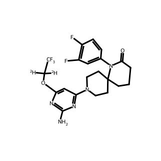 [2H]C([2H])(Oc1cc(N2CCC3(CCCC(=O)N3c3ccc(F)c(F)c3)CC2)nc(N)n1)C(F)(F)F